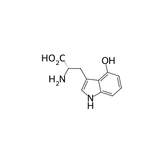 N[C@@H](Cc1c[nH]c2cccc(O)c12)C(=O)O